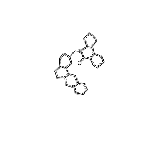 O=c1c2ccccc2c2ccccc2n1Cc1ccc2ccc3cc4ccccc4cc3c2c1